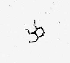 COC1=CC=C[C](CBr)C1CBr